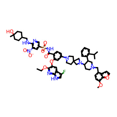 CCOc1nc2[nH]cc(F)c2cc1Oc1cc(N2CCC3(CC2)CN(C2CCN(Cc4ccc(OC)c5occc45)CC2c2ccccc2C(C)C)C3)ccc1C(=O)NS(=O)(=O)c1cnc(NCC2CCC(C)(O)CC2)c([N+](=O)[O-])c1